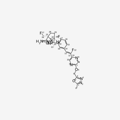 Cc1nnc(COc2cnc(/C(F)=C/c3ccc(F)c([C@@]4(C)N=C(N)[C@@]5(CF)CC[C@@H]4S5(=O)=O)c3)cn2)o1